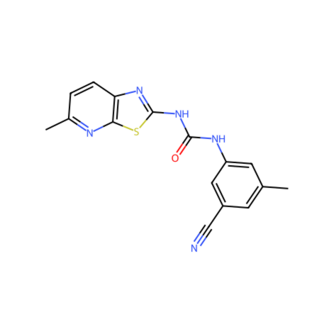 Cc1cc(C#N)cc(NC(=O)Nc2nc3ccc(C)nc3s2)c1